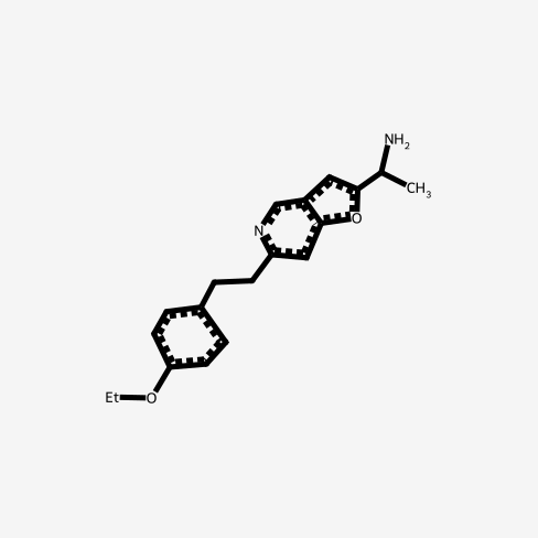 CCOc1ccc(CCc2cc3oc(C(C)N)cc3cn2)cc1